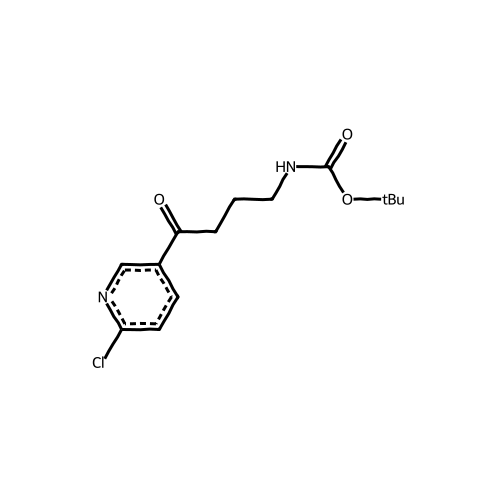 CC(C)(C)OC(=O)NCCCC(=O)c1ccc(Cl)nc1